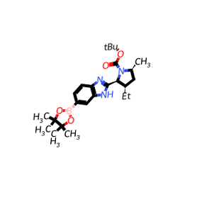 CC[C@H]1C[C@@H](C)N(C(=O)OC(C)(C)C)[C@@H]1c1nc2ccc(B3OC(C)(C)C(C)(C)O3)cc2[nH]1